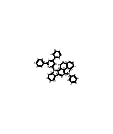 c1ccc(-c2cc(-c3ccccc3)nc(-n3c4ccccc4c4cc5c6c(c43)CCc3cccc(c36)n5-c3ccccc3)c2)cc1